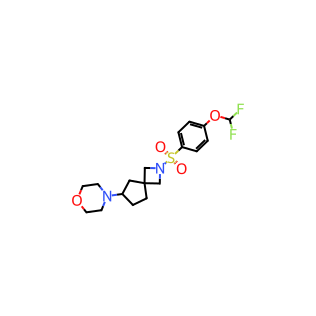 O=S(=O)(c1ccc(OC(F)F)cc1)N1CC2(CCC(N3CCOCC3)C2)C1